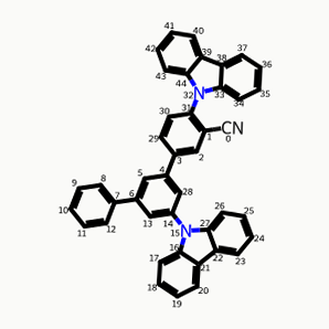 N#Cc1cc(-c2cc(-c3ccccc3)cc(-n3c4ccccc4c4ccccc43)c2)ccc1-n1c2ccccc2c2ccccc21